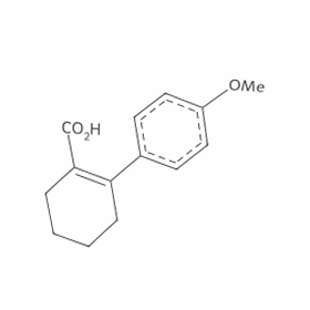 COc1ccc(C2=C(C(=O)O)CCCC2)cc1